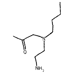 CCCCN(CCN)CC(C)=O